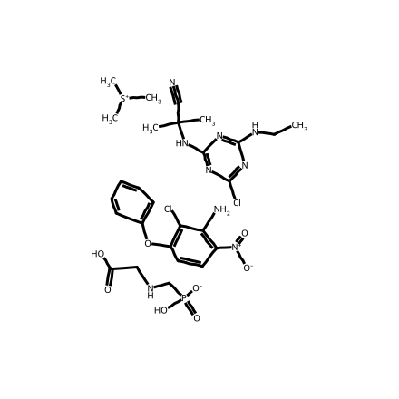 CCNc1nc(Cl)nc(NC(C)(C)C#N)n1.C[S+](C)C.Nc1c([N+](=O)[O-])ccc(Oc2ccccc2)c1Cl.O=C(O)CNCP(=O)([O-])O